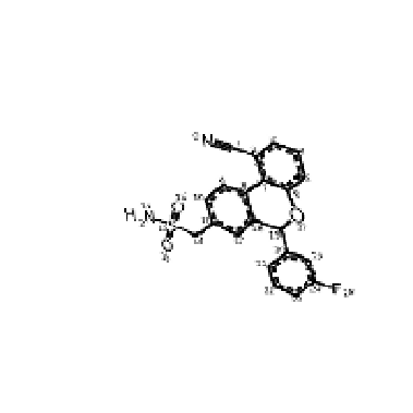 N#Cc1cccc2c1-c1ccc(CS(N)(=O)=O)cc1C(c1cccc(F)c1)O2